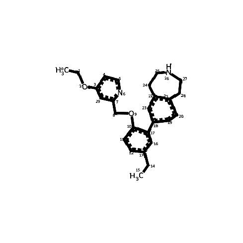 CCOc1ccnc(COc2ccc(CC)cc2-c2ccc3c(c2)CCNCC3)c1